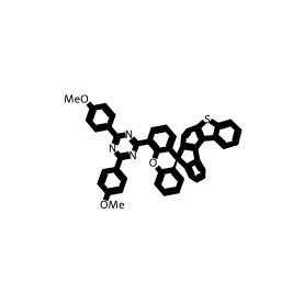 COc1ccc(-c2nc(-c3ccc(OC)cc3)nc(-c3cccc4c3Oc3ccccc3[C@@]43c4ccccc4-c4c3ccc3sc5ccccc5c43)n2)cc1